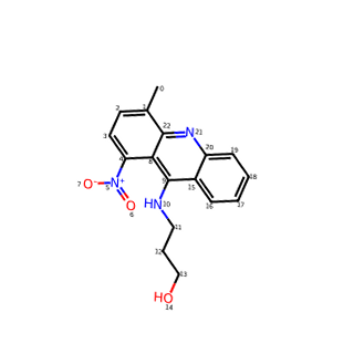 Cc1ccc([N+](=O)[O-])c2c(NCCCO)c3ccccc3nc12